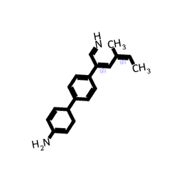 C/C=C(C)\C=C(/C=N)c1ccc(C2C=CC(N)=CC2)cc1